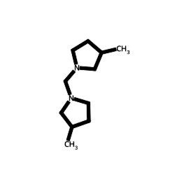 CC1CCN(CN2CCC(C)C2)C1